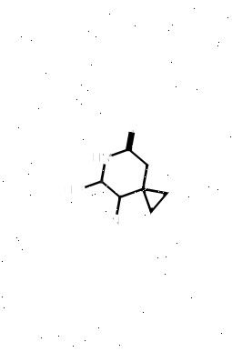 NC1C(O)NC(=O)CC12CC2